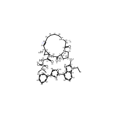 CCn1c(O[C@@H]2C[C@H]3C(=O)N[C@]4(C(=O)NS(=O)(=O)N(C)C)C[C@H]4/C=C\CCCCC[C@H](C)C(=O)N3C2)nc2c(-c3nc(-c4ccccc4)cs3)cccc21